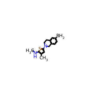 Bc1ccc2c(c1)CCN(c1cc(C)c(NC)s1)C2